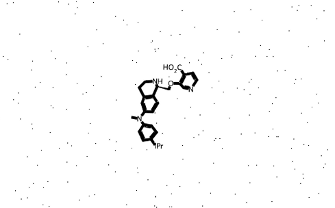 CC(C)c1ccc(N(C)c2ccc3c(c2)CCN[C@H]3COc2cnccc2C(=O)O)cc1